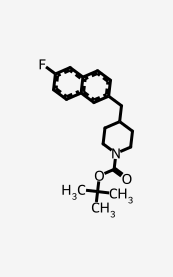 CC(C)(C)OC(=O)N1CCC(Cc2ccc3cc(F)ccc3c2)CC1